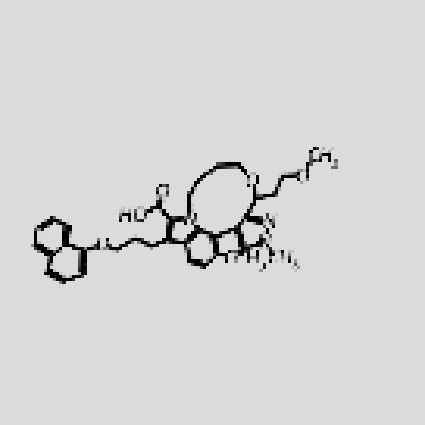 COCCC1OCCCCn2c(C(=O)O)c(CCCOc3cccc4ccccc34)c3ccc(Cl)c(c32)-c2c1nn(C)c2C